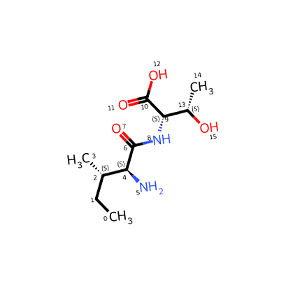 CC[C@H](C)[C@H](N)C(=O)N[C@H](C(=O)O)[C@H](C)O